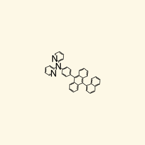 c1ccc(N(c2ccc(-c3c4ccccc4c(-c4cccc5ccccc45)c4ccccc34)cc2)c2ccccn2)nc1